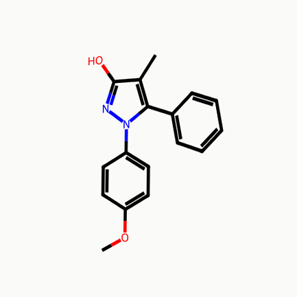 COc1ccc(-n2nc(O)c(C)c2-c2ccccc2)cc1